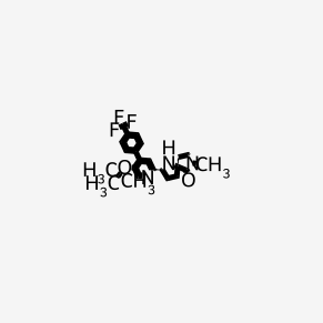 CN1CC[C@@]2(CC[C@H](c3cc(-c4ccc(C(F)(F)F)cc4)c(OC(C)(C)C)cn3)N2)C1=O